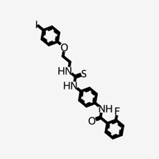 O=C(Nc1ccc(NC(=S)NCCOc2ccc(I)cc2)cc1)c1ccccc1F